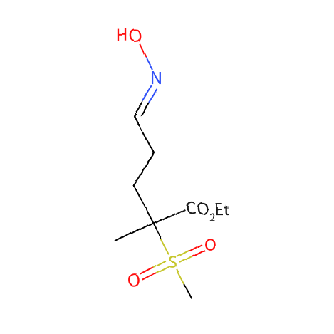 CCOC(=O)C(C)(CC/C=N/O)S(C)(=O)=O